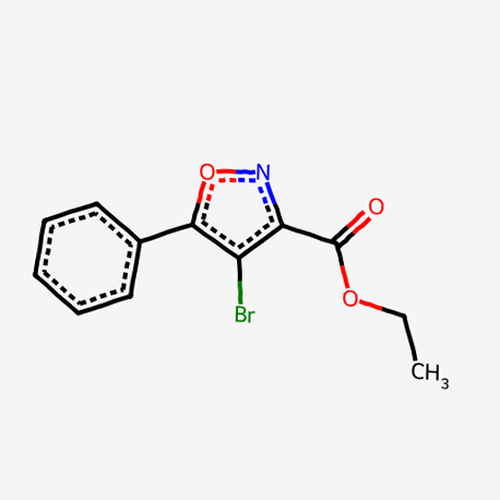 CCOC(=O)c1noc(-c2ccccc2)c1Br